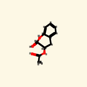 CC(=O)O[C@@H]1Cc2ccccc2OC1=O